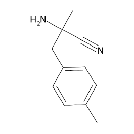 Cc1ccc(CC(C)(N)C#N)cc1